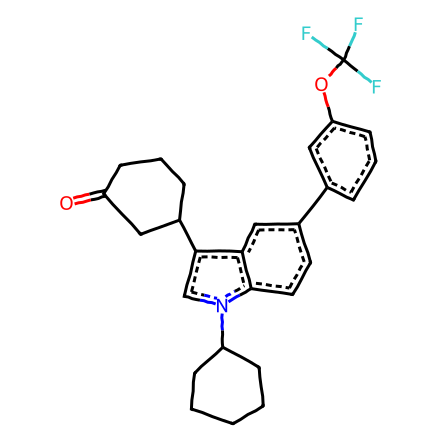 O=C1CCCC(c2cn(C3CCCCC3)c3ccc(-c4cccc(OC(F)(F)F)c4)cc23)C1